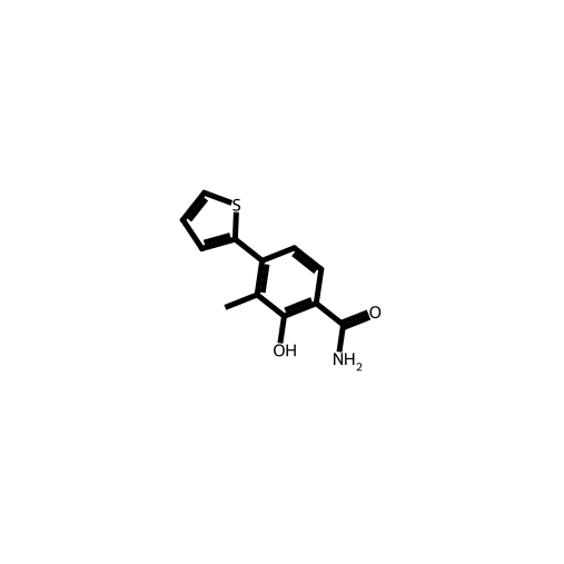 Cc1c(-c2cccs2)ccc(C(N)=O)c1O